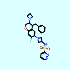 O=S(=O)(NC1CN(c2cc3c(cc2F)OCC(N2CCC2)C3Cc2ccccc2)C1)c1cccnn1